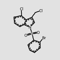 O=S(=O)(c1ccccc1Br)n1cc(CCl)c2c(Cl)cccc21